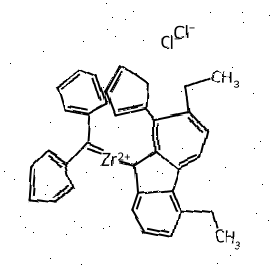 CCc1ccc2c(c1C1=CC=CC1)[CH]([Zr+2]=[C](c1ccccc1)c1ccccc1)c1cccc(CC)c1-2.[Cl-].[Cl-]